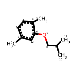 Cc1ccc(C)c(OCC(C)C)c1